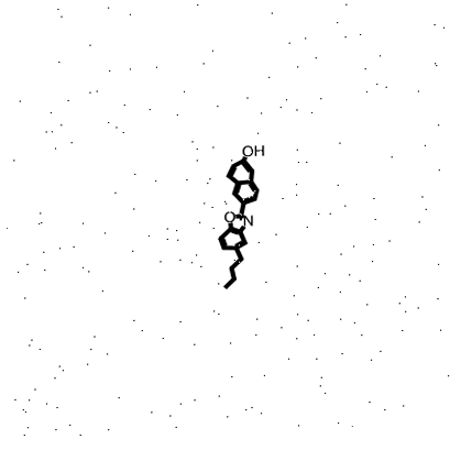 CCCCc1ccc2oc(-c3ccc4cc(O)ccc4c3)nc2c1